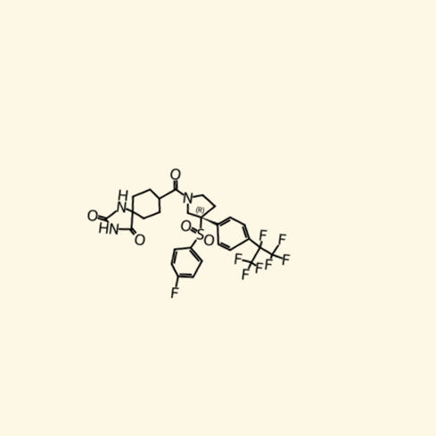 O=C1NC(=O)C2(CCC(C(=O)N3CC[C@](c4ccc(C(F)(C(F)(F)F)C(F)(F)F)cc4)(S(=O)(=O)c4ccc(F)cc4)C3)CC2)N1